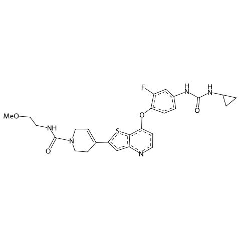 COCCNC(=O)N1CC=C(c2cc3nccc(Oc4ccc(NC(=O)NC5CC5)cc4F)c3s2)CC1